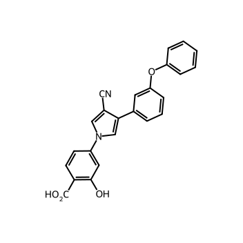 N#Cc1cn(-c2ccc(C(=O)O)c(O)c2)cc1-c1cccc(Oc2ccccc2)c1